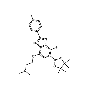 Cc1ccc(-c2nc3c(F)c(B4OC(C)(C)C(C)(C)O4)cc(OCCN(C)C)c3[nH]2)cc1